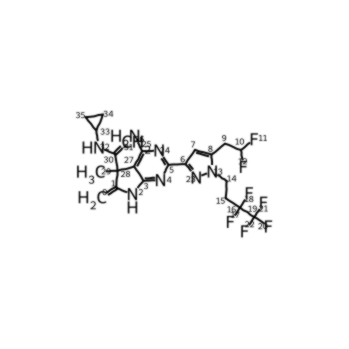 C=C1Nc2nc(-c3cc(CC(F)F)n(CCC(F)(F)C(F)(F)F)n3)nc(N)c2C1(C)C(=C)NC1CC1